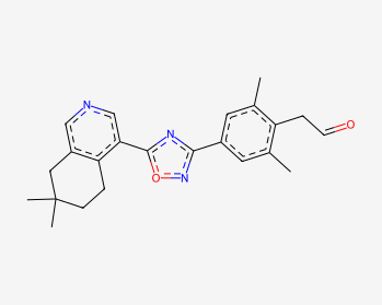 Cc1cc(-c2noc(-c3cncc4c3CCC(C)(C)C4)n2)cc(C)c1CC=O